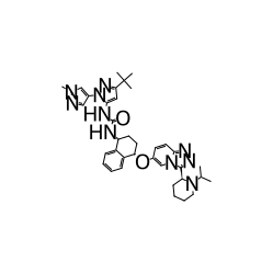 CC(C)N1CCCC[C@H]1c1nnc2ccc(O[C@@H]3CC[C@H](NC(=O)Nc4cc(C(C)(C)C)nn4-c4cnn(C)c4)c4ccccc43)cn12